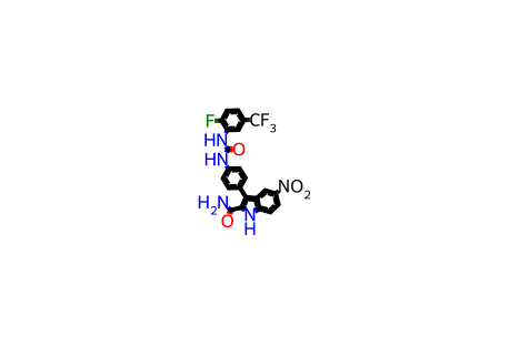 NC(=O)c1[nH]c2ccc([N+](=O)[O-])cc2c1-c1ccc(NC(=O)Nc2cc(C(F)(F)F)ccc2F)cc1